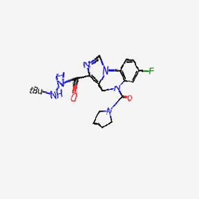 CC(C)(C)NNC(=O)c1ncn2c1CN(C(=O)N1CCCC1)c1cc(F)ccc1-2